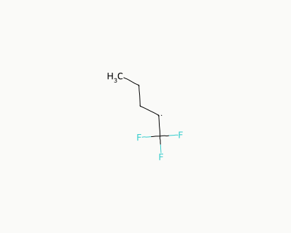 CCC[CH]C(F)(F)F